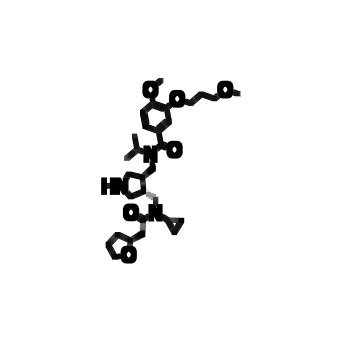 COCCCOc1cc(C(=O)N(C[C@@H]2CNC[C@H]2CN(C(=O)C[C@@H]2CCCO2)C2CC2)C(C)C)ccc1OC